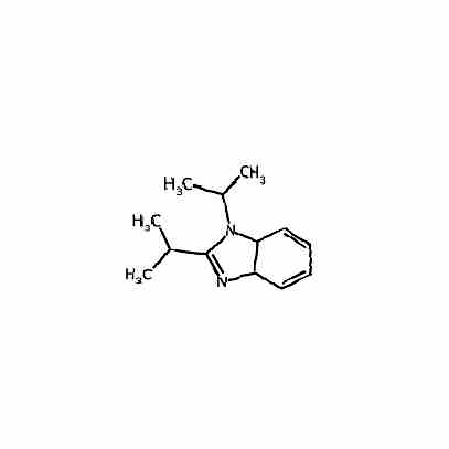 CC(C)C1=NC2C=CC=CC2N1C(C)C